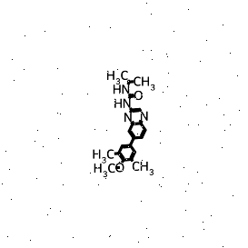 COc1c(C)cc(-c2ccc3ncc(NC(=O)NC(C)C)nc3c2)cc1C